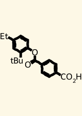 CCc1ccc(OC(=O)c2ccc(C(=O)O)cc2)c(C(C)(C)C)c1